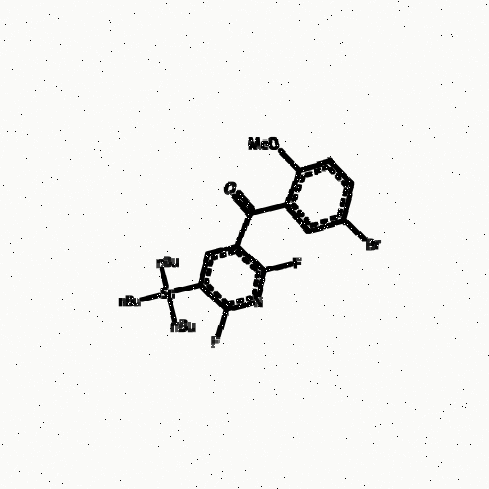 CCC[CH2][Sn]([CH2]CCC)([CH2]CCC)[c]1cc(C(=O)c2cc(Br)ccc2OC)c(F)nc1F